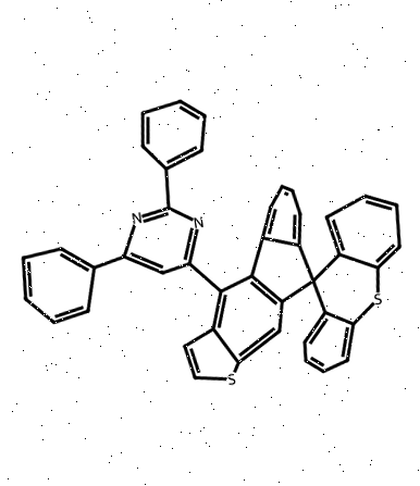 c1ccc(-c2cc(-c3c4c(cc5sccc35)C3(c5ccccc5Sc5ccccc53)c3ccccc3-4)nc(-c3ccccc3)n2)cc1